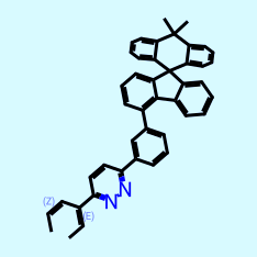 C/C=C\C(=C/C)c1ccc(-c2cccc(-c3cccc4c3-c3ccccc3C43c4ccccc4C(C)(C)c4ccccc43)c2)nn1